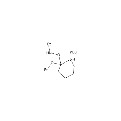 CCCC[SiH]1CCCCC1(OCC)ONCC